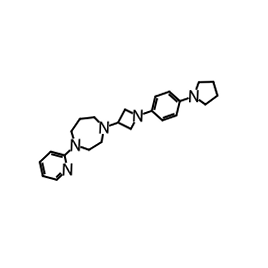 c1ccc(N2CCCN(C3CN(c4ccc(N5CCCC5)cc4)C3)CC2)nc1